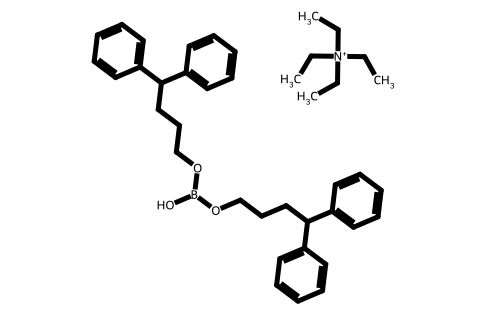 CC[N+](CC)(CC)CC.OB(OCCCC(c1ccccc1)c1ccccc1)OCCCC(c1ccccc1)c1ccccc1